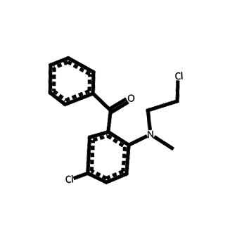 CN(CCCl)c1ccc(Cl)cc1C(=O)c1ccccc1